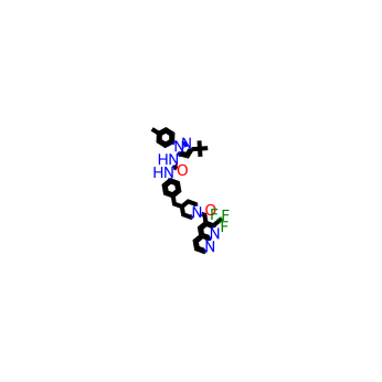 Cc1ccc(-n2nc(C(C)(C)C)cc2NC(=O)Nc2ccc(CC3CCN(C(=O)c4cc5cccnc5nc4C(F)(F)F)CC3)cc2)cc1